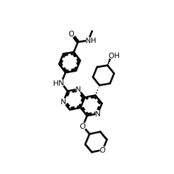 CNC(=O)c1ccc(Nc2ncc3c(OC4CCOCC4)ncc([C@H]4CC[C@H](O)CC4)c3n2)cc1